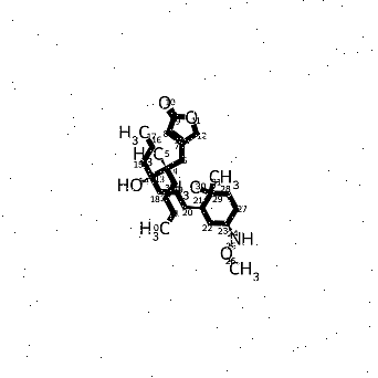 CCCC[C@](C)(CC1=CC(=O)OC1)[C@](O)(CCC)CCC[C@@H]1C[C@@H](NOC)CCC1(C)C